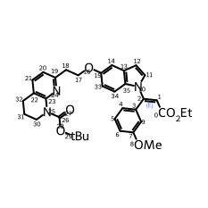 CCOC(=O)/C=C(\c1cccc(OC)c1)n1ccc2cc(OCCc3ccc4c(n3)N(C(=O)OC(C)(C)C)CCC4)ccc21